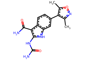 Cc1noc(C)c1-c1ccc2c(C(N)=O)c(NC(N)=O)[nH]c2c1